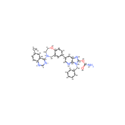 Cc1ccc2ncnc(N3CCOc4ccc(-c5cnc6c(c5)nc(OC(N)=O)n6Cc5ccccc5)cc4C3)c2c1